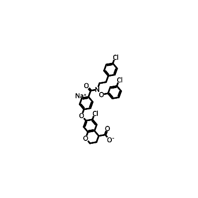 O=C([O-])C1CCOc2cc(Oc3ccc(C(=O)N(CCc4ccc(Cl)cc4)Oc4cccc(Cl)c4)cc3)c(Cl)cc21.[Na+]